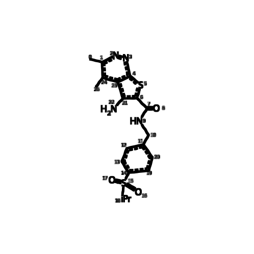 Cc1nnc2sc(C(=O)NCc3ccc(S(=O)(=O)C(C)C)cc3)c(N)c2c1C